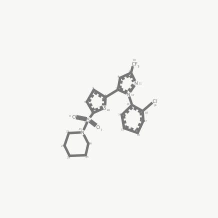 O=S(=O)(c1ccc(-c2cc(C(F)(F)F)nn2-c2ccccc2Cl)s1)N1CCCCC1